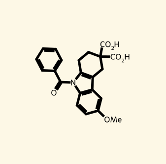 COc1ccc2c(c1)c1c(n2C(=O)c2ccccc2)CCC(C(=O)O)(C(=O)O)C1